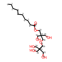 CCCCCCCCCC(=O)OCC(CO)(CO)COCC(CO)(CO)CO